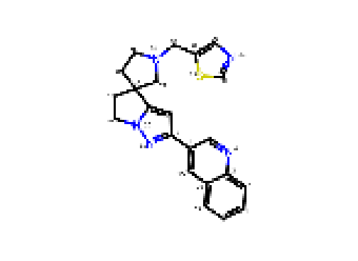 c1ccc2ncc(-c3cc4n(n3)CCC43CCN(Cc4cncs4)C3)cc2c1